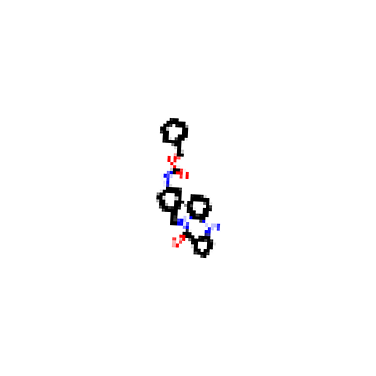 O=C(Nc1ccc(CN2C(=O)C3CCCC3Nc3ccccc32)cc1)OCc1ccccc1